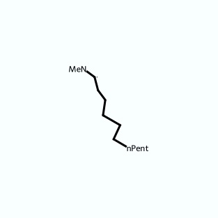 CCCCCCCCCC[CH]NC